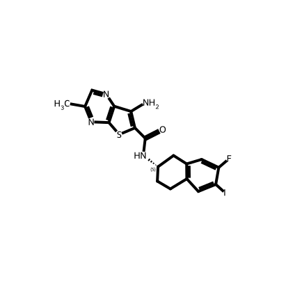 Cc1cnc2c(N)c(C(=O)N[C@H]3CCc4cc(I)c(F)cc4C3)sc2n1